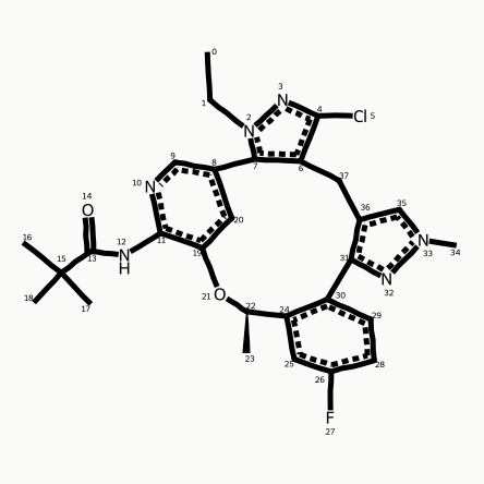 CCn1nc(Cl)c2c1-c1cnc(NC(=O)C(C)(C)C)c(c1)O[C@H](C)c1cc(F)ccc1-c1nn(C)cc1C2